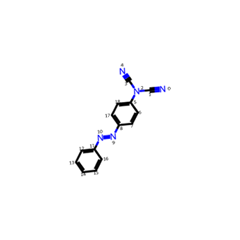 N#CN(C#N)c1ccc(N=Nc2ccccc2)cc1